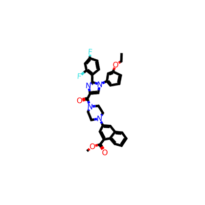 CCOc1cccc(-n2cc(C(=O)N3CCN(c4cc(C(=O)OC)c5ccccc5c4)CC3)nc2-c2ccc(F)cc2F)c1